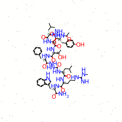 CNC(=N)NCCC[C@H](NC(=O)[C@H](CC(C)C)NC(=O)NNC(=O)[C@H](Cc1ccccc1)NC(=O)[C@@H](NC(=O)[C@H](CC(N)=O)NC(=O)[C@H](CC(C)C)NC(=O)[C@@H](Cc1ccc(O)cc1)NC(C)=O)[C@@H](C)O)C(=O)N[C@@H](Cc1c[nH]c2ccccc12)C(N)=O